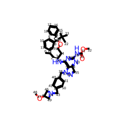 CCC[C@@H](CCO[Si](c1ccccc1)(c1ccccc1)C(C)(C)C)Nc1nc(NC(=O)OC)nc2cnn(Cc3ccc(CN4CC(OC)C4)cc3)c12